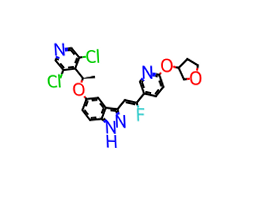 C[C@@H](Oc1ccc2[nH]nc(/C=C(\F)c3ccc(OC4CCOC4)nc3)c2c1)c1c(Cl)cncc1Cl